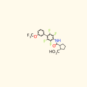 O=C(O)C1CCCC1C(=O)Nc1c(F)c(F)c(-c2cccc(OC(F)(F)F)c2)c(F)c1F